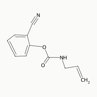 C=CCNC(=O)Oc1ccccc1C#N